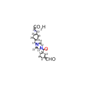 C[C@@H]1CN(C(=O)c2cccc(C=O)c2)C[C@H](C)N1Cc1ccc(/C=C/C(=O)O)cc1